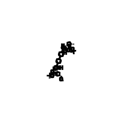 COC[C@H]1C[C@@H](c2ncc(-c3ccc(-c4ccc(-c5cnc([C@@H]6CC[C@H](C)N6C(=O)OC(C)(C)C)[nH]5)cc4)cc3)[nH]2)N(C(=O)OC(C)(C)C)C1